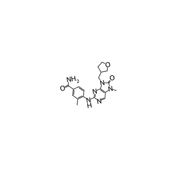 Cc1cc(C(N)=O)ccc1Nc1ncc2c(n1)n(CC1CCOC1)c(=O)n2C